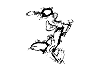 CC(C)(C#Cc1nc(Cl)n(CCOc2ccc(Cl)cc2)c1C(=O)NCC1CCCCC1)CO